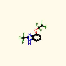 FC(F)C(F)(F)Oc1cccc2[nH]c(C(F)(F)F)nc12